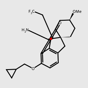 CO[C@H]1CC[C@]2(CC1)Cc1ccc(OCC3CC3)cc1[C@]21N=C(N)N(CC(F)(F)F)C1=O